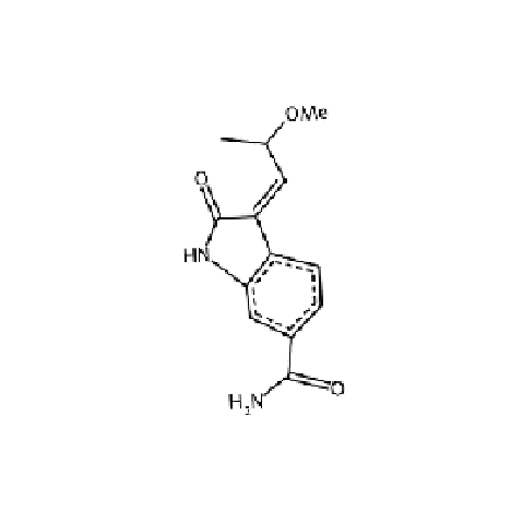 COC(C)C=C1C(=O)Nc2cc(C(N)=O)ccc21